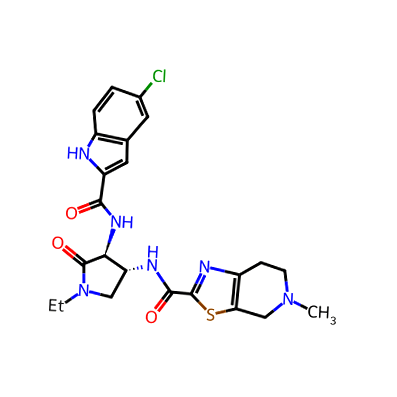 CCN1C[C@@H](NC(=O)c2nc3c(s2)CN(C)CC3)[C@H](NC(=O)c2cc3cc(Cl)ccc3[nH]2)C1=O